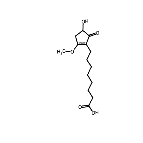 COC1=C(CCCCCCCC(=O)O)C(=O)C(O)C1